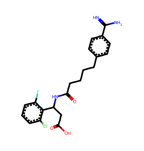 N=C(N)c1ccc(CCCCC(=O)NC(CC(=O)O)c2c(F)cccc2Cl)cc1